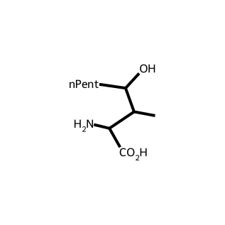 CCCCCC(O)C(C)C(N)C(=O)O